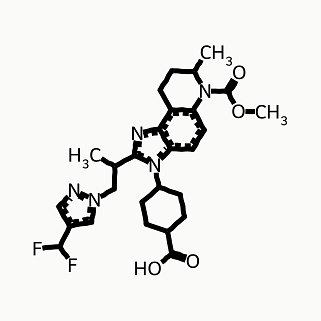 COC(=O)N1c2ccc3c(nc(C(C)Cn4cc(C(F)F)cn4)n3C3CCC(C(=O)O)CC3)c2CCC1C